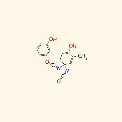 CC1=CC(N=C=O)(N=C=O)CC=C1O.Oc1ccccc1